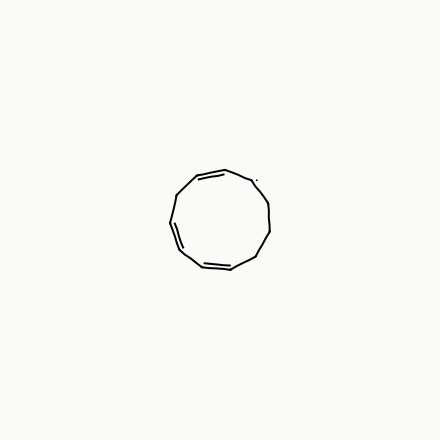 [CH]1/C=C\C/C=C\C=C/CCC1